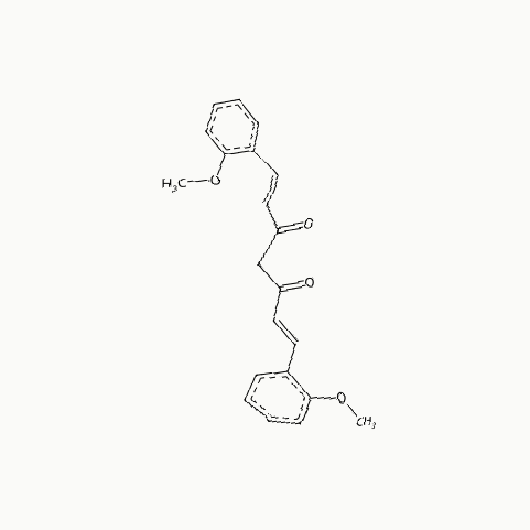 COc1ccccc1C=CC(=O)CC(=O)C=Cc1ccccc1OC